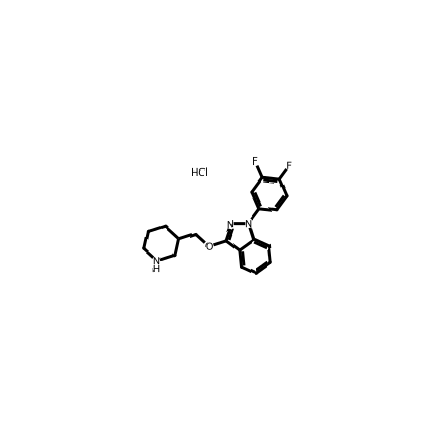 Cl.Fc1ccc(-n2nc(OCC3CCCNC3)c3ccccc32)cc1F